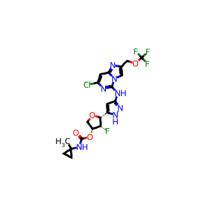 CC1(NC(=O)O[C@@H]2CO[C@H](c3cc(Nc4nc(Cl)cc5nc(COC(F)(F)F)cn45)n[nH]3)[C@@H]2F)CC1